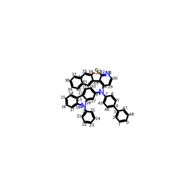 c1ccc(-c2ccc(N(c3ccc4c5ccccc5n(-c5ccccc5)c4c3)c3ccnc4sc5cc6ccccc6cc5c34)cc2)cc1